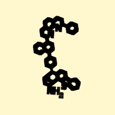 NC1C=CC2CC1c1c(ccc3c1sc1ccccc13)[C@H]2c1ccc(-c2ccc(-c3ccc4ccc5ccc(-c6ccccc6)nc5c4n3)c3ccccc23)cc1